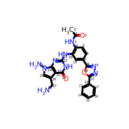 CC(=O)Nc1ccc(-c2nnc(-c3ccccc3)o2)cc1Nc1nc2c(c(CN)cn2N)c(=O)[nH]1